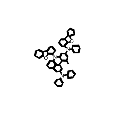 Cc1ccc(N(c2ccccc2)c2ccccc2)cc1-c1c(C)cc(N(c2ccccc2)c2cccc3c2oc2ccccc23)cc1N(c1ccccc1)c1cccc2c1oc1ccccc12